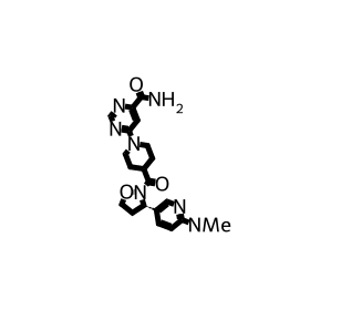 CNc1ccc([C@@H]2CCON2C(=O)C2CCN(c3cc(C(N)=O)ncn3)CC2)cn1